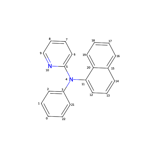 c1ccc(N(c2ccccn2)c2cccc3ccccc23)cc1